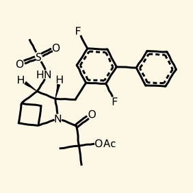 CC(=O)OC(C)(C)C(=O)N1C2CC(C2)[C@H](NS(C)(=O)=O)[C@@H]1Cc1cc(F)cc(-c2ccccc2)c1F